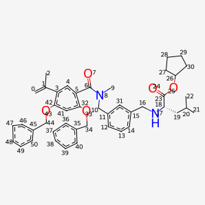 C=C(C)c1cc(C(=O)N(C)Cc2cccc(CN[C@@H](CC(C)C)C(=O)OC3CCCC3)c2)c(OCc2ccccc2)cc1OCc1ccccc1